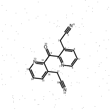 N#CCc1cccnc1C(=O)c1ncccc1CC#N